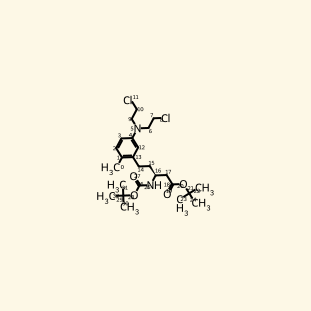 Cc1ccc(N(CCCl)CCCl)cc1CC[C@@H](CC(=O)OC(C)(C)C)NC(=O)OC(C)(C)C